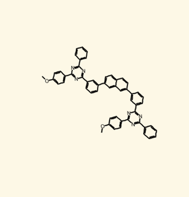 COc1ccc(-c2nc(-c3ccccc3)nc(-c3cccc(-c4ccc5ccc(-c6cccc(-c7nc(-c8ccccc8)nc(-c8ccc(OC)cc8)n7)c6)cc5c4)c3)n2)cc1